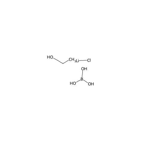 CCO.OB(O)O.[Li][Cl]